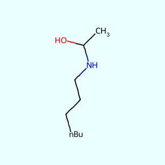 CCCCCCCNC(C)O